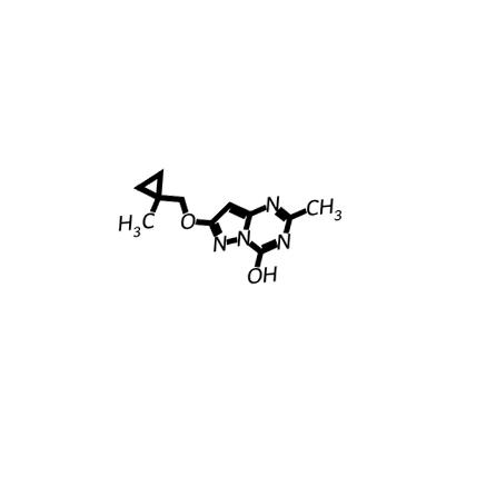 Cc1nc(O)n2nc(OCC3(C)CC3)cc2n1